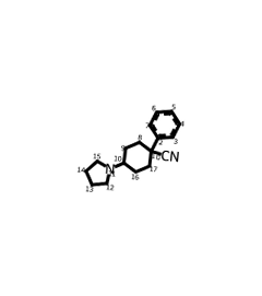 N#CC1(c2ccccc2)CCC(N2CCCC2)CC1